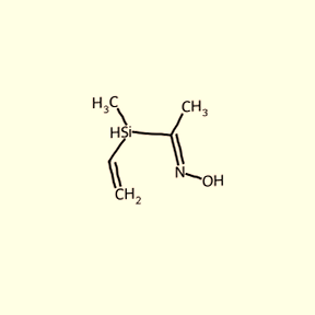 C=C[SiH](C)C(C)=NO